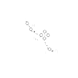 Cc1cc(C2(c3ccc(OCCC(=O)Oc4ccc(C(C)(C)c5ccc(O)cc5)cc4)c(C)c3)c3ccccc3-c3ccccc32)ccc1OCCC(=O)Oc1ccc(C(C)(C)C)cc1